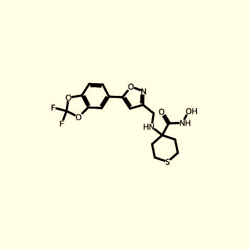 O=C(NO)C1(NCc2cc(-c3ccc4c(c3)OC(F)(F)O4)on2)CCSCC1